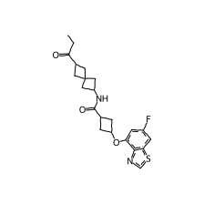 CCC(=O)C1CC2(CC(NC(=O)C3CC(Oc4cc(F)cc5scnc45)C3)C2)C1